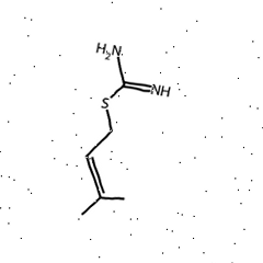 CC(C)=CCSC(=N)N